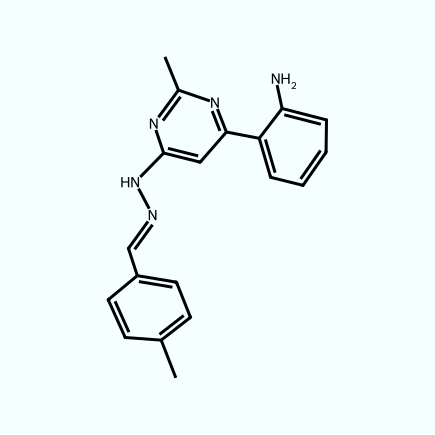 Cc1ccc(/C=N/Nc2cc(-c3ccccc3N)nc(C)n2)cc1